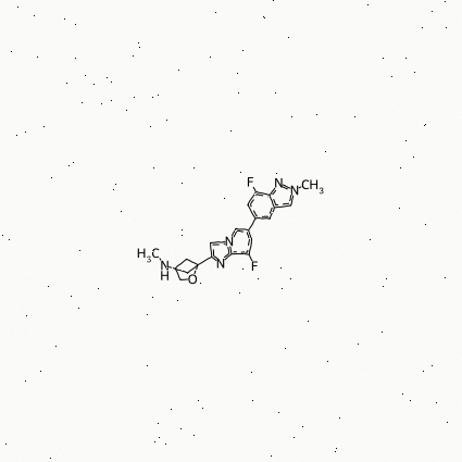 CNC12COC(c3cn4cc(-c5cc(F)c6nn(C)cc6c5)cc(F)c4n3)(C1)C2